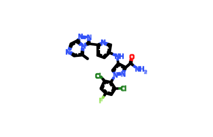 Cc1cncc2nnc(-c3ccc(Nc4cn(-c5c(Cl)cc(F)cc5Cl)nc4C(N)=O)cn3)n12